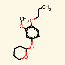 CCCOc1ccc(OC2CCCCO2)cc1OC